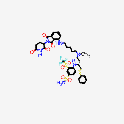 CN(CCCCCNc1cccc2c1C(=O)N(C1CCC(=O)NC1=O)C2=O)CC[C@H](CSc1ccccc1)Nc1ccc(S(N)(=O)=O)cc1S(=O)(=O)C(F)(F)F